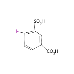 O=C(O)c1ccc(I)c(S(=O)(=O)O)c1